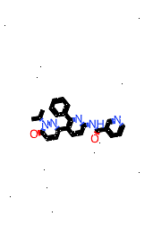 CC(C)n1nc(-c2ccc(NC(=O)c3cccnc3)nc2-c2ccccc2)ccc1=O